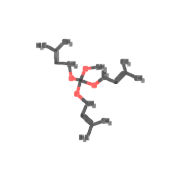 CC(C)=C[SiH2]OC(O[SiH3])(O[SiH2]C=C(C)C)O[SiH2]C=C(C)C